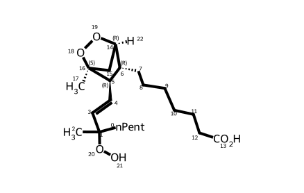 CCCCCC(C)(C=C[C@@H]1[C@@H](CCCCCCC(=O)O)[C@H]2C[C@]1(C)OO2)OO